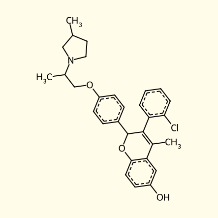 CC1=C(c2ccccc2Cl)C(c2ccc(OCC(C)N3CCC(C)C3)cc2)Oc2ccc(O)cc21